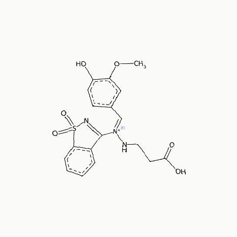 COc1cc(/C=[N+](/NCCC(=O)O)C2=NS(=O)(=O)c3ccccc32)ccc1O